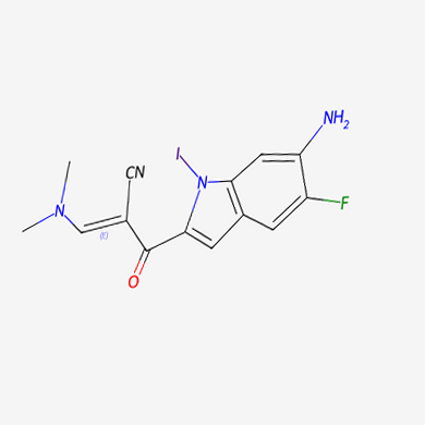 CN(C)/C=C(\C#N)C(=O)c1cc2cc(F)c(N)cc2n1I